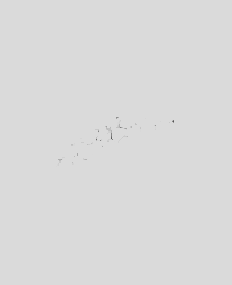 CCCCCCOc1ccc(OC(=O)C2CCC(CCC)CC2)c(F)c1F